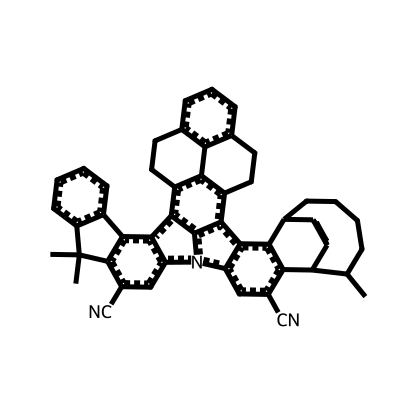 CC1CCCCC2c3c(c(C#N)cc4c3c3c5c6c(c7c8c9c(c(C#N)cc8n4c73)C(C)(C)c3ccccc3-9)CCc3cccc(c3-6)CC5)C1C1CCCCC21